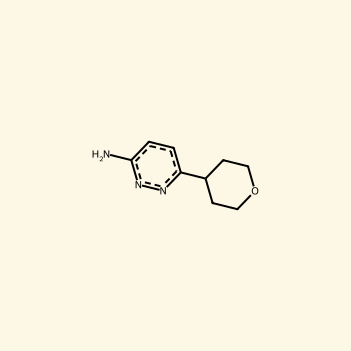 Nc1ccc(C2CCOCC2)nn1